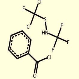 FC(F)(F)NSC(F)(Cl)Cl.O=C(Cl)c1ccccc1